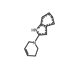 C1=CCN(c2cc3ccccc3[nH]2)CC1